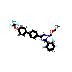 CCOCN1CC(c2ccc(-c3ccc(OC(F)(F)F)cc3)cc2)N=C1c1c(F)cccc1F